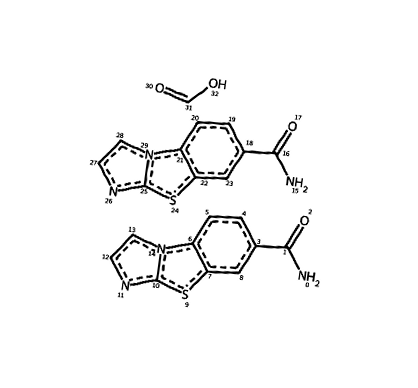 NC(=O)c1ccc2c(c1)sc1nccn12.NC(=O)c1ccc2c(c1)sc1nccn12.O=CO